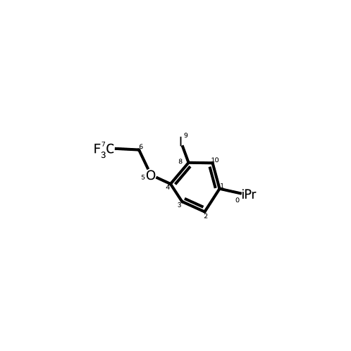 CC(C)c1ccc(OCC(F)(F)F)c(I)c1